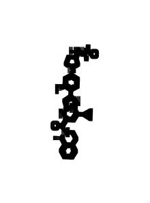 C[C@@H]1c2ccccc2CCN1C(=O)c1cc(C2CC2)n2nc(-c3ccc(N4CCC(NP(C)(C)=O)C4)cc3F)cc2n1